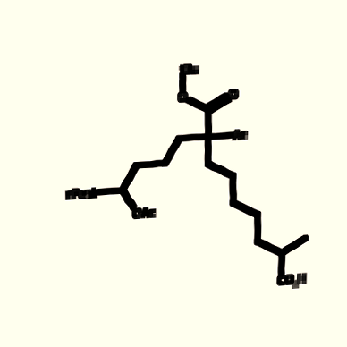 CCCCCC(CCCC(CCCCCC(C)C(=O)O)(C(C)=O)C(=O)OC(C)(C)C)OC(C)=O